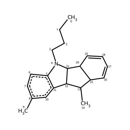 CCCCN1c2ccc(C)cc2C2C(C)C3C=CC=CC3C21